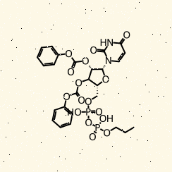 CCCOP(=O)(O)OP(=O)(O)OC[C@H]1O[C@@H](n2ccc(=O)[nH]c2=O)[C@@H](OC(=O)Oc2ccccc2)C1OC(=O)Oc1ccccc1